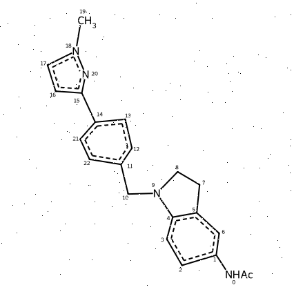 CC(=O)Nc1ccc2c(c1)CCN2Cc1ccc(-c2ccn(C)n2)cc1